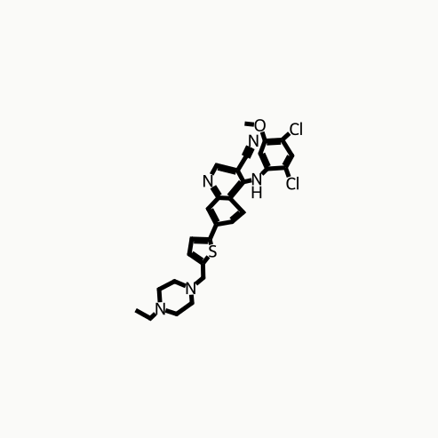 CCN1CCN(Cc2ccc(-c3ccc4c(Nc5cc(OC)c(Cl)cc5Cl)c(C#N)cnc4c3)s2)CC1